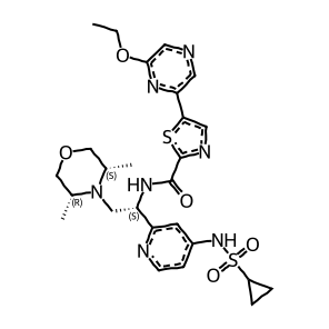 CCOc1cncc(-c2cnc(C(=O)N[C@@H](CN3[C@H](C)COC[C@@H]3C)c3cc(NS(=O)(=O)C4CC4)ccn3)s2)n1